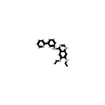 CCOc1cc2ncnc(Nc3cccc(-c4ccccn4)c3)c2cc1OCC